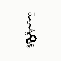 O=C(NCCOCCO)c1cccc2c1C=CS2(=O)=O